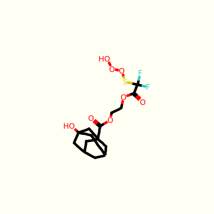 O=C(OCCOC(=O)C(F)(F)SOOO)C12CC3CC(CC(O)(C3)C1)C2